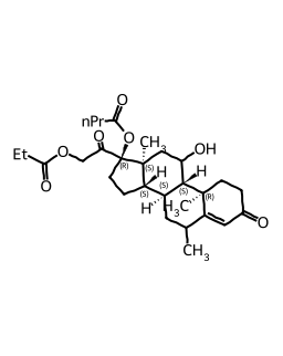 CCCC(=O)O[C@]1(C(=O)COC(=O)CC)CC[C@H]2[C@@H]3CC(C)C4=CC(=O)CC[C@]4(C)[C@H]3C(O)C[C@@]21C